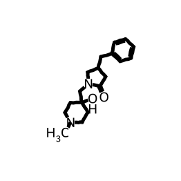 CN1CCC(O)(CN2CC(Cc3ccccc3)CC2=O)CC1